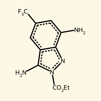 CCOC(=O)n1nc2c(N)cc(C(F)(F)F)cc2c1N